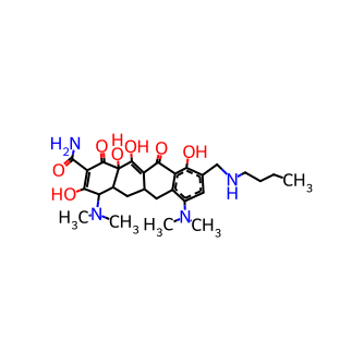 CCCCNCc1cc(N(C)C)c2c(c1O)C(=O)C1=C(O)C3(O)C(=O)C(C(N)=O)=C(O)C(N(C)C)C3CC1C2